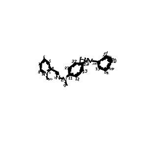 CN(/N=C/c1cccc[n+]1C)c1ccc(Nc2ccccc2)cc1